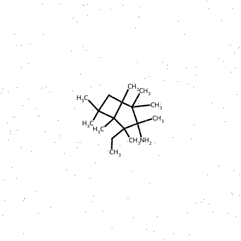 CCC1(C)C(C)(N)C(C)(C)C2(C)CC(C)(C)C21C